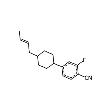 CC=CCC1CCC(c2ccc(C#N)c(F)c2)CC1